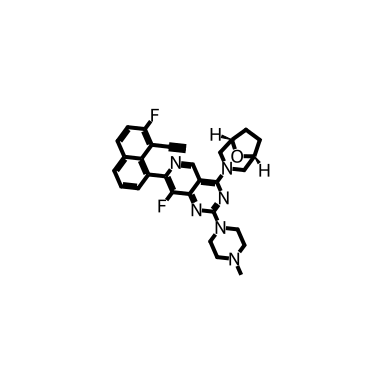 C#Cc1c(F)ccc2cccc(-c3ncc4c(N5C[C@H]6CC[C@@H](C5)O6)nc(N5CCN(C)CC5)nc4c3F)c12